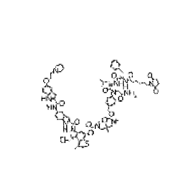 Cc1csc2c(OC(=O)N(C)CC(C)(C)CN(C)C(=O)OCc3ccc(N(CC(N)=O)C(=O)[C@H](CC(C)C)NC(=O)[C@H](Cc4ccccc4)NC(=O)CCCCCN4C(=O)C=CC4=O)cc3)cc3c(c12)[C@H](CCl)CN3C(=O)c1cc2cc(NC(=O)c3cc4cc(OCCN5CCCC5)ccc4[nH]3)ccc2[nH]1